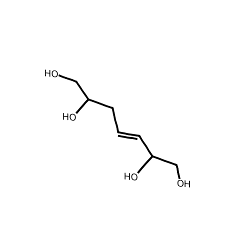 OCC(O)C=CCC(O)CO